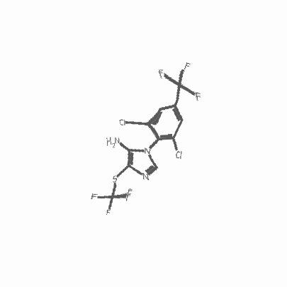 Nc1c(SC(F)(F)F)ncn1-c1c(Cl)cc(C(F)(F)F)cc1Cl